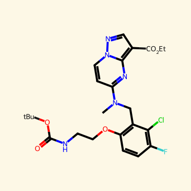 CCOC(=O)c1cnn2ccc(N(C)Cc3c(OCCNC(=O)OC(C)(C)C)ccc(F)c3Cl)nc12